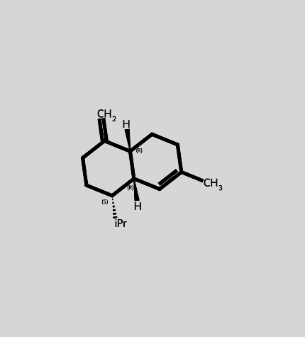 C=C1CC[C@@H](C(C)C)[C@H]2C=C(C)CC[C@@H]12